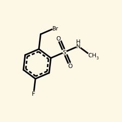 CNS(=O)(=O)c1cc(F)ccc1CBr